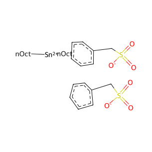 CCCCCCC[CH2][Sn+2][CH2]CCCCCCC.O=S(=O)([O-])Cc1ccccc1.O=S(=O)([O-])Cc1ccccc1